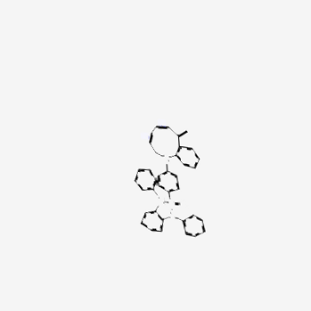 C=C1/C=C\C=C/CN(c2ccc(P3(=O)N(c4ccccc4)c4ccccc4N3c3ccccc3)cc2)c2ccccc21